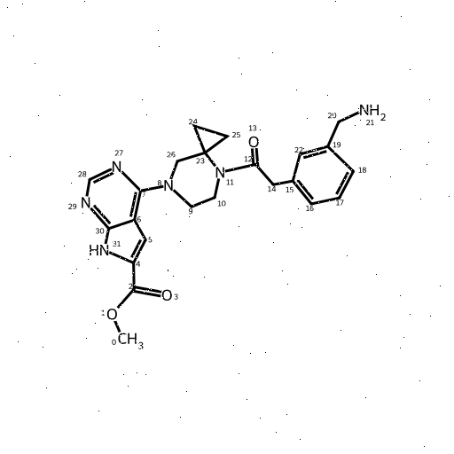 COC(=O)c1cc2c(N3CCN(C(=O)Cc4cccc(CN)c4)C4(CC4)C3)ncnc2[nH]1